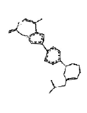 C=C1CC=C(C)c2cc(-c3ccc([C@H]4CCCC=C(CC(C)C)C4)cc3)cn2C1